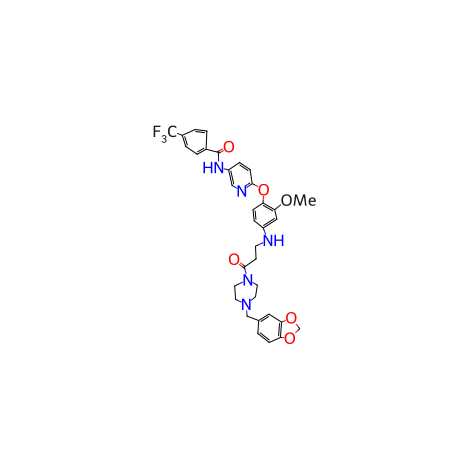 COc1cc(NCCC(=O)N2CCN(Cc3ccc4c(c3)OCO4)CC2)ccc1Oc1ccc(NC(=O)c2ccc(C(F)(F)F)cc2)cn1